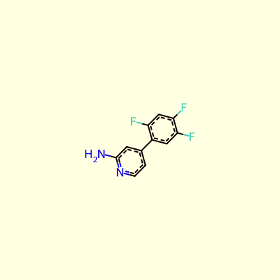 Nc1cc(-c2cc(F)c(F)cc2F)ccn1